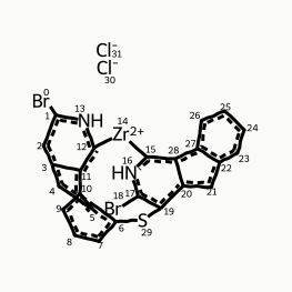 Brc1cc2cc3c4cccc3c-2[c]([nH]1)[Zr+2][c]1[nH]c(Br)c(c2cc3ccccc3c1-2)S4.[Cl-].[Cl-]